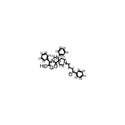 O=C(CCCN1CCC2(CC1)C(=O)N([C@H](C(=O)O)c1ccccc1)CN2c1ccccc1)c1ccccc1